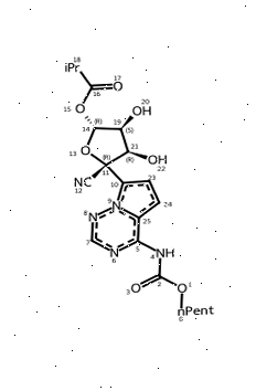 CCCCCOC(=O)Nc1ncnn2c([C@]3(C#N)O[C@H](OC(=O)C(C)C)[C@@H](O)[C@H]3O)ccc12